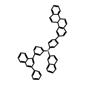 C1=CC2c3cc(-c4ccc(N(c5cccc(-c6cc(-c7ccccc7)cc7ccccc67)c5)c5ccc6ccccc6c5)cc4)ccc3C=CC2c2ccccc21